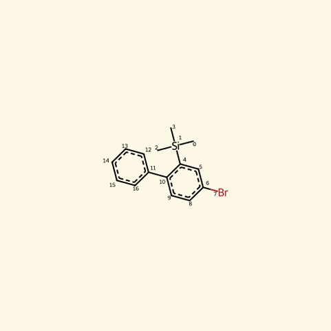 C[Si](C)(C)c1cc(Br)ccc1-c1ccccc1